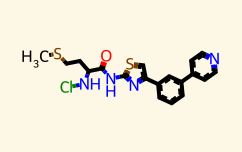 CSCCC(NCl)C(=O)Nc1nc(-c2cccc(-c3ccncc3)c2)cs1